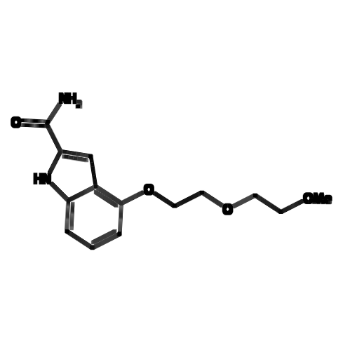 COCCOCCOc1cccc2[nH]c(C(N)=O)cc12